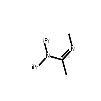 C/N=C(/C)N(C(C)C)C(C)C